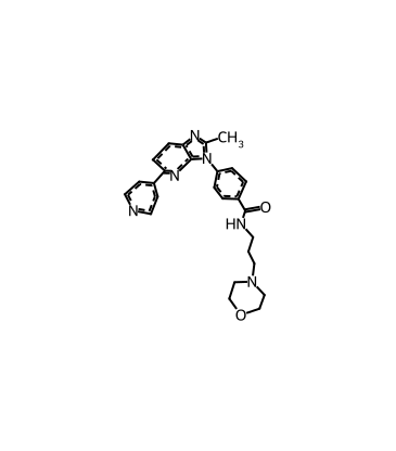 Cc1nc2ccc(-c3ccncc3)nc2n1-c1ccc(C(=O)NCCCN2CCOCC2)cc1